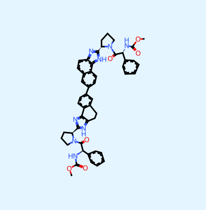 COC(=O)N[C@@H](C(=O)N1CCC[C@H]1c1nc2c([nH]1)CCc1cc(-c3ccc4c(ccc5nc([C@@H]6CCCN6C(=O)[C@H](NC(=O)OC)c6ccccc6)[nH]c54)c3)ccc1-2)c1ccccc1